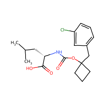 CC(C)C[C@H](NC(=O)OC1(Cc2cccc(Cl)c2)CCC1)C(=O)O